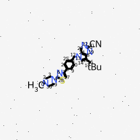 CN1CCN(c2nc(-c3ccc(Cn4cc(CC(C)(C)C)c5nc(C#N)ncc54)cc3)cs2)CC1